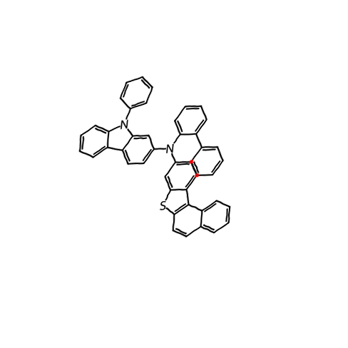 c1ccc(-c2ccccc2N(c2ccc3c(c2)sc2ccc4ccccc4c23)c2ccc3c4ccccc4n(-c4ccccc4)c3c2)cc1